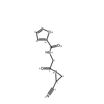 N#CC1CN1C(=O)CNC(=O)c1ccco1